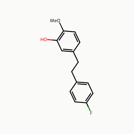 COc1ccc(CCc2ccc(F)cc2)cc1O